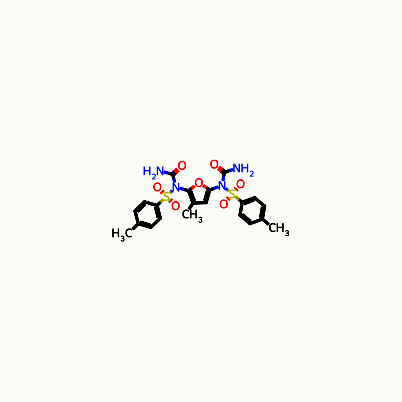 Cc1ccc(S(=O)(=O)N(C(N)=O)c2cc(C)c(N(C(N)=O)S(=O)(=O)c3ccc(C)cc3)o2)cc1